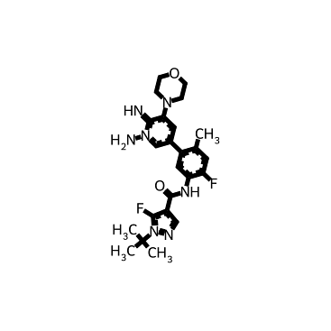 Cc1cc(F)c(NC(=O)c2cnn(C(C)(C)C)c2F)cc1-c1cc(N2CCOCC2)c(=N)n(N)c1